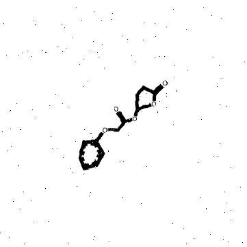 O=C1CCC(OC(=O)COc2ccccc2)O1